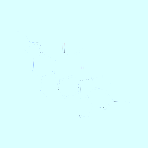 C=CC(=O)Nc1cn(C)nc1Nc1ncc2ccc(C(C)(O)c3c(Cl)c(OC)cc(OC)c3Cl)cc2n1